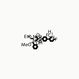 CCOCc1nc(=O)c(S(=O)(=O)c2ccc(-c3ccc(F)nc3C)c(F)c2)c(O)n1[C@@H](COC)c1ccccc1